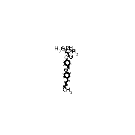 C=C(CN(C)C)C(=O)OC1CCC(COC2CCC(CCCCC)CC2)CC1